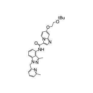 Cc1cccc(Cn2nc(C)c3c(NC(=O)c4cnc5cc(OCCOC(C)(C)C)ccn45)cccc32)n1